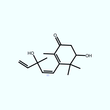 C=CC(C)(O)/C=C\C1=C(C)C(=O)CC(O)C1(C)C